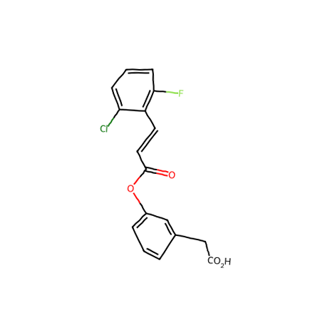 O=C(O)Cc1cccc(OC(=O)C=Cc2c(F)cccc2Cl)c1